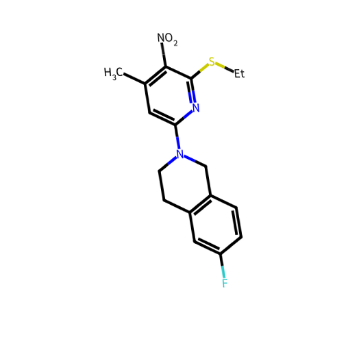 CCSc1nc(N2CCc3cc(F)ccc3C2)cc(C)c1[N+](=O)[O-]